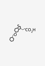 O=C(O)CCc1csc2ccc(OCc3ccccc3)cc12